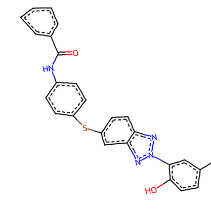 Cc1ccc(O)c(-n2nc3ccc(Sc4ccc(NC(=O)c5ccccc5)cc4)cc3n2)c1